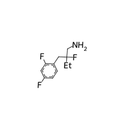 CCC(F)(CN)Cc1ccc(F)cc1F